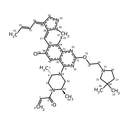 C=CC(=O)N1C[C@H](C)N(c2nc(OCCN3CCC(C)(C)C3)nc3c(F)c(/C=c4/c(=C\C=C\C)cnn4C)c(Cl)cc23)C[C@H]1C